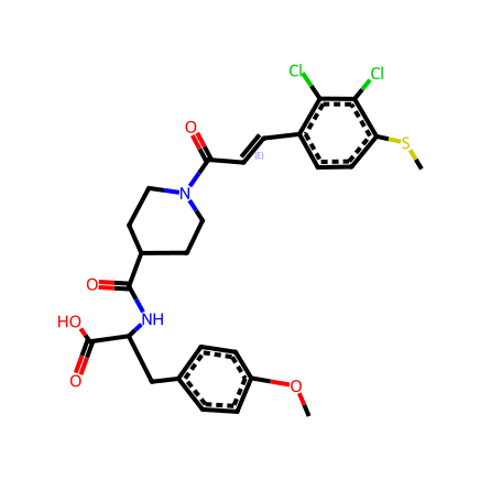 COc1ccc(CC(NC(=O)C2CCN(C(=O)/C=C/c3ccc(SC)c(Cl)c3Cl)CC2)C(=O)O)cc1